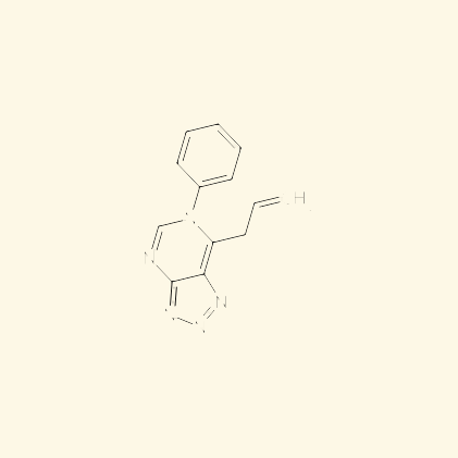 C=CCc1c2nnnc-2ncn1-c1ccccc1